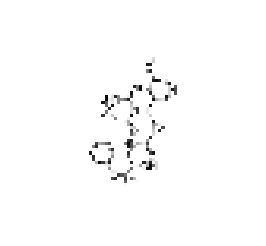 COc1cncc(C([C@@H]2C[C@H]2C(=O)N[C@@H]2c3ccccc3OC(C)(C)[C@H]2O)N2C(=N)NC(C)(C)CC2=O)c1